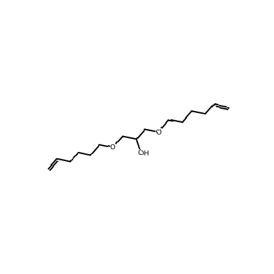 C=CCCCCOCC(O)COCCCCC=C